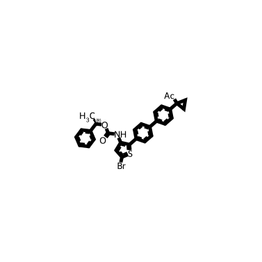 CC(=O)C1(c2ccc(-c3ccc(-c4sc(Br)cc4NC(=O)O[C@H](C)c4ccccc4)cc3)cc2)CC1